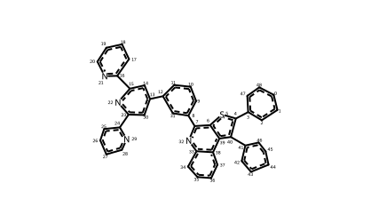 c1ccc(-c2sc3c(-c4cccc(-c5cc(-c6ccccn6)nc(-c6ccccn6)c5)c4)nc4ccccc4c3c2-c2ccccc2)cc1